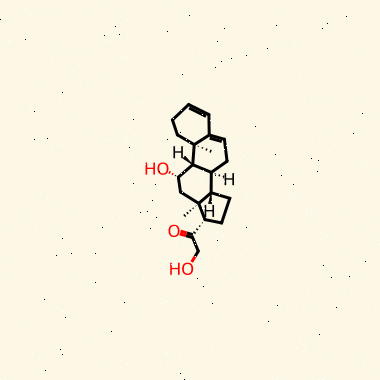 C[C@]12C[C@H](O)[C@H]3[C@@H](CC=C4C=CCC[C@@]43C)[C@@H]1CC[C@@H]2C(=O)CO